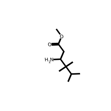 COC(=O)CC(N)C(C)(C)C(C)C